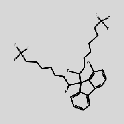 FC(CCCCCCC(F)(F)F)C1(C(F)CCCCCCC(F)(F)F)c2ccccc2-c2cccc(Br)c21